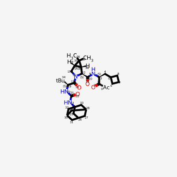 CC(=O)C(=O)[C@H](CC1CCC1)NC(=O)[C@@H]1[C@@H]2[C@H](CN1C(=O)[C@@H](NC(=O)NC13CC4CC(CC(C4)C1)C3)C(C)(C)C)C2(C)C